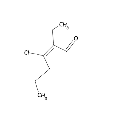 CCCC(Cl)=C(C=O)CC